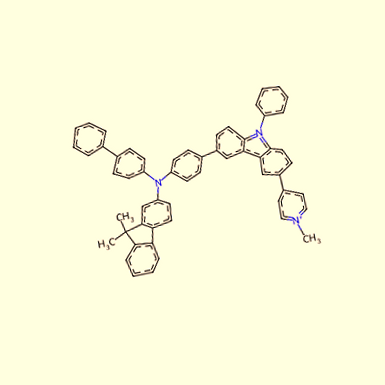 C[n+]1ccc(-c2ccc3c(c2)c2cc(-c4ccc(N(c5ccc(-c6ccccc6)cc5)c5ccc6c(c5)C(C)(C)c5ccccc5-6)cc4)ccc2n3-c2ccccc2)cc1